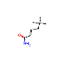 CC(C)(C)CC=CC(N)=O